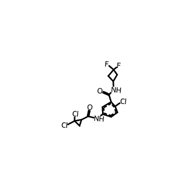 O=C(NC1CC(F)(F)C1)c1cc(NC(=O)C2CC2(Cl)Cl)ccc1Cl